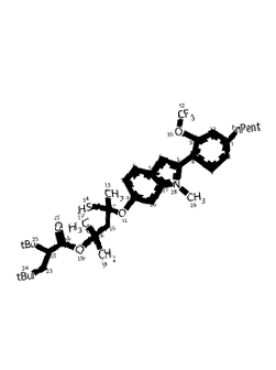 CCCCCc1ccc(-c2cc3ccc(OC(C)(S)CC(C)(C)OC(=O)C(CC(C)(C)C)C(C)(C)C)cc3n2C)c(OC(F)(F)F)c1